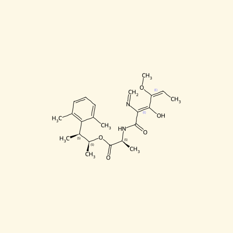 C=N/C(C(=O)N[C@@H](C)C(=O)O[C@@H](C)[C@@H](C)c1c(C)cccc1C)=C(O)\C(=C/C)OC